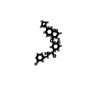 O=C(NCc1cccc(F)c1)c1ccc(F)c(Oc2ccnc3cc(N4CCC4)ccc23)c1